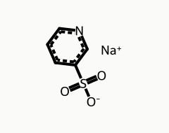 O=S(=O)([O-])c1cccnc1.[Na+]